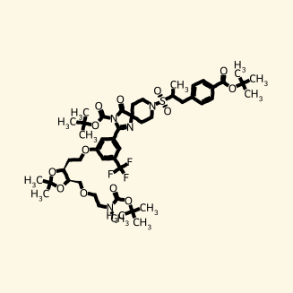 CC(Cc1ccc(C(=O)OC(C)(C)C)cc1)S(=O)(=O)N1CCC2(CC1)N=C(c1cc(OCC[C@@H]3OC(C)(C)O[C@@H]3COCCN(C)C(=O)OC(C)(C)C)cc(C(F)(F)F)c1)N(C(=O)OC(C)(C)C)C2=O